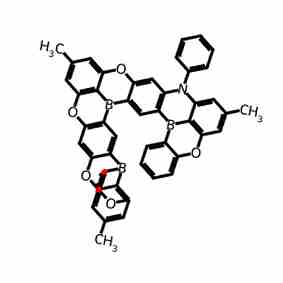 Cc1cc2c3c(c1)Oc1cc4c(cc1B3c1ccccc1O2)B1c2cc3c(cc2Oc2cc(C)cc(c21)O4)N(c1ccccc1)c1cc(C)cc2c1B3c1ccccc1O2